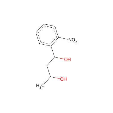 CC(O)CC(O)c1ccccc1[N+](=O)[O-]